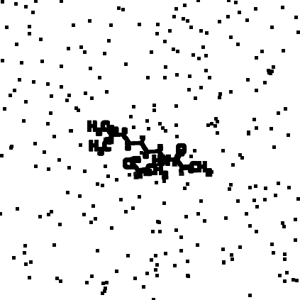 C=CC(=O)NCCCCCC(C)C.C=CCl